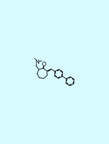 CN(C)CC1CCCC/C(=C\c2ccc(-c3ccccc3)cc2)C1=O